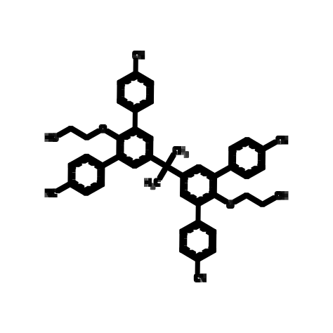 CC(C)(c1cc(-c2ccc(C#N)cc2)c(OCCO)c(-c2ccc(C#N)cc2)c1)c1cc(-c2ccc(C#N)cc2)c(OCCO)c(-c2ccc(C#N)cc2)c1